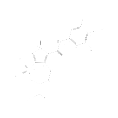 CC(O)[C@H]1CCc2c(cn(C)c2C(=O)Nc2cc(F)c(F)c(F)c2)S(=O)(=O)N1